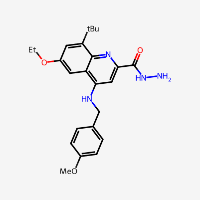 CCOc1cc(C(C)(C)C)c2nc(C(=O)NN)cc(NCc3ccc(OC)cc3)c2c1